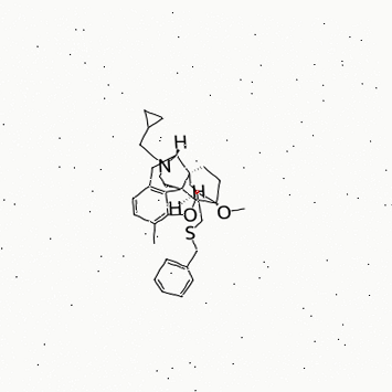 CO[C@]12CC[C@@]3(C[C@@H]1CSCc1ccccc1)[C@H]1Cc4ccc(C)c5c4[C@@]3(CCN1CC1CC1)[C@H]2O5